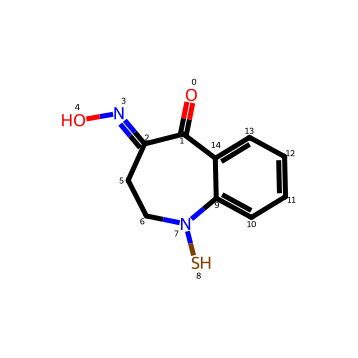 O=C1/C(=N/O)CCN(S)c2ccccc21